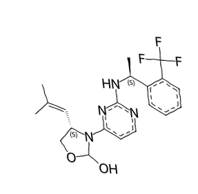 CC(C)=C[C@H]1COC(O)N1c1ccnc(N[C@@H](C)c2ccccc2C(F)(F)F)n1